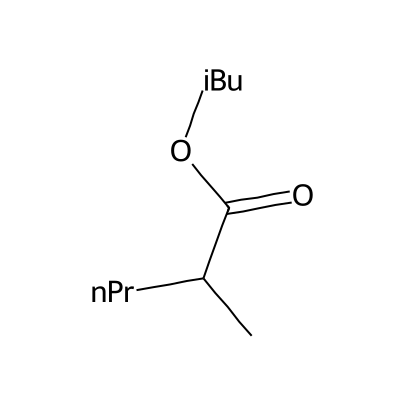 CCCC(C)C(=O)OC(C)CC